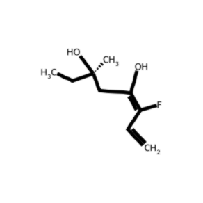 C=C/C(F)=C(/O)C[C@](C)(O)CC